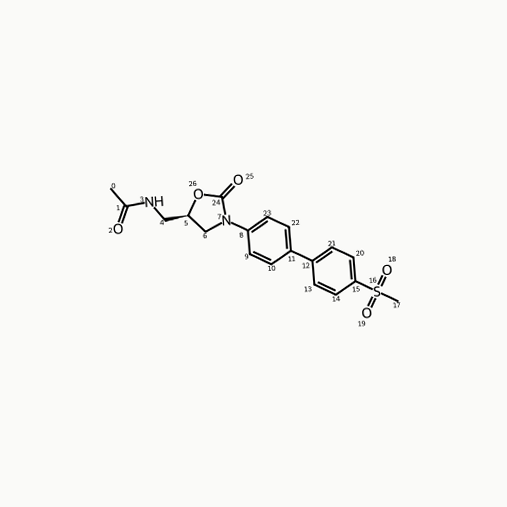 CC(=O)NC[C@@H]1CN(c2ccc(-c3ccc(S(C)(=O)=O)cc3)cc2)C(=O)O1